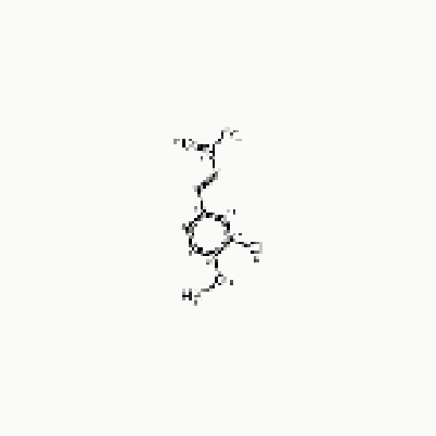 COc1ccc(/C=C/[N+](=O)[O-])cc1Cl